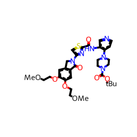 COCCOc1cc2c(cc1OCCOC)C(=O)N(c1csc(C(=O)Nc3cnccc3N3CCN(C(=O)OC(C)(C)C)CC3)n1)C2